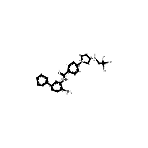 Nc1ccc(-c2ccccc2)cc1NC(=O)c1ccc(N2CC[C@H](NCC(F)(F)F)C2)cc1